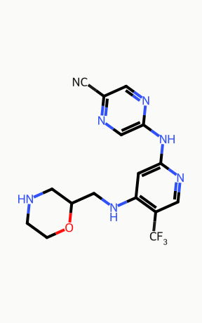 N#Cc1cnc(Nc2cc(NCC3CNCCO3)c(C(F)(F)F)cn2)cn1